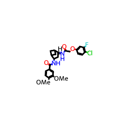 COc1ccc(C(=O)NC2C[C@H](NC(=O)COc3ccc(Cl)c(F)c3)C3CC2C3)cc1OC